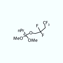 CCC[Si](OC)(OC)OCC(F)(F)CC(F)(F)F